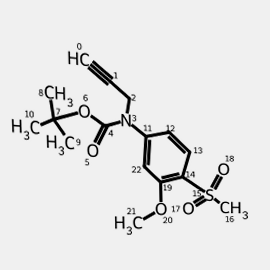 C#CCN(C(=O)OC(C)(C)C)c1ccc(S(C)(=O)=O)c(OC)c1